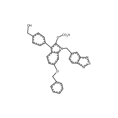 O=C(O)Oc1c(-c2ccc(CO)cc2)c2ccc(OCc3ccccc3)cc2n1Cc1ccc2nsnc2c1